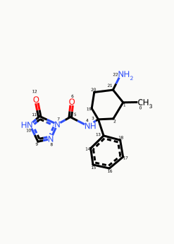 CC1CC(NC(=O)n2nc[nH]c2=O)(c2ccccc2)CCC1N